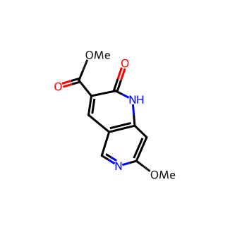 COC(=O)c1cc2cnc(OC)cc2[nH]c1=O